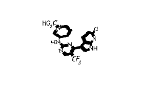 O=C(O)N1CCC[C@H](Nc2ncc(C(F)(F)F)c(-c3c[nH]c4nc(Cl)ccc34)n2)C1